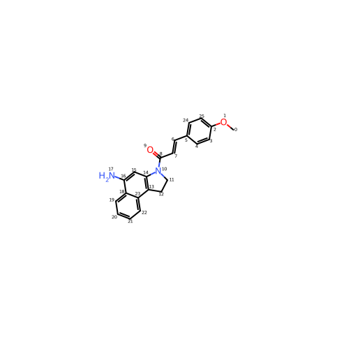 COc1ccc(/C=C/C(=O)N2CCc3c2cc(N)c2ccccc32)cc1